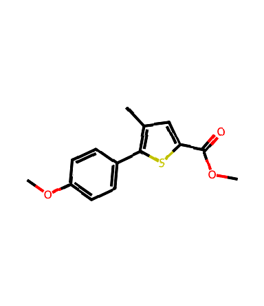 COC(=O)c1cc(C)c(-c2ccc(OC)cc2)s1